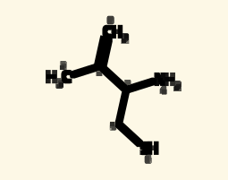 C=C(C)C(N)CS